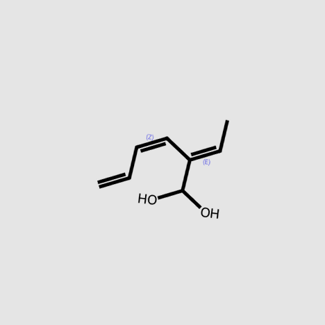 C=C/C=C\C(=C/C)C(O)O